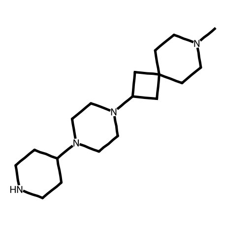 CN1CCC2(CC1)CC(N1CCN(C3CCNCC3)CC1)C2